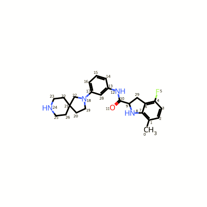 Cc1ccc(F)c2c1NC(C(=O)Nc1cccc(N3CCC4(CCNCC4)C3)c1)C2